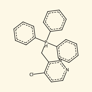 Clc1ccnnc1C[PH](c1ccccc1)(c1ccccc1)c1ccccc1